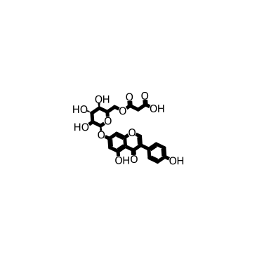 O=C(O)CC(=O)OCC1O[C@@H](Oc2cc(O)c3c(=O)c(-c4ccc(O)cc4)coc3c2)C(O)[C@H](O)[C@H]1O